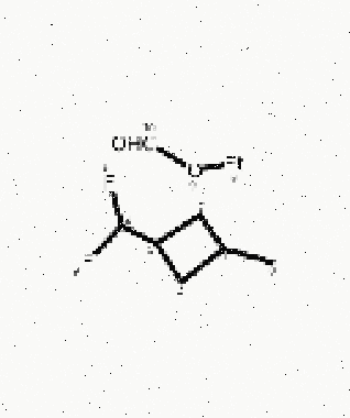 CC1CC(C(F)F)C1.CCOC=O